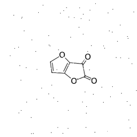 O=C1Oc2ccoc2C1=O